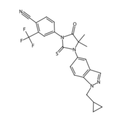 CC1(C)C(=O)N(c2ccc(C#N)c(C(F)(F)F)c2)C(=S)N1c1ccc2c(cnn2CC2CC2)c1